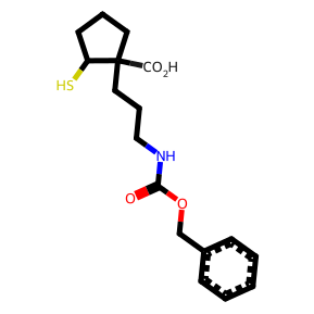 O=C(NCCCC1(C(=O)O)CCCC1S)OCc1ccccc1